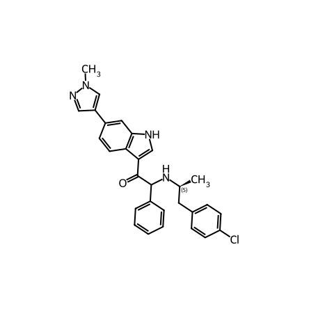 C[C@@H](Cc1ccc(Cl)cc1)NC(C(=O)c1c[nH]c2cc(-c3cnn(C)c3)ccc12)c1ccccc1